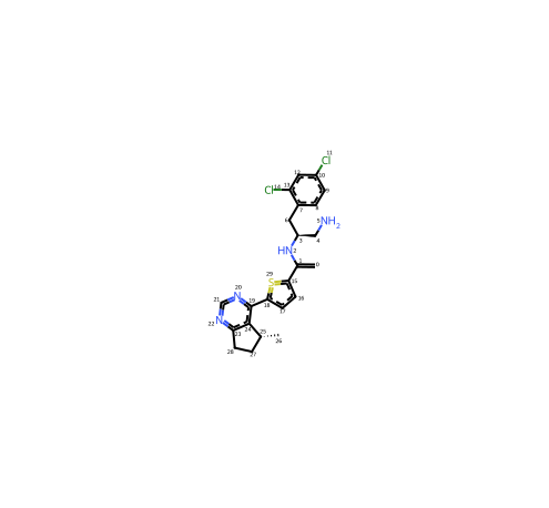 C=C(N[C@H](CN)Cc1ccc(Cl)cc1Cl)c1ccc(-c2ncnc3c2[C@H](C)CC3)s1